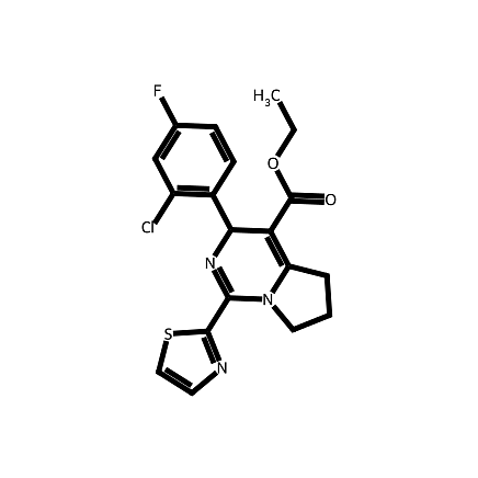 CCOC(=O)C1=C2CCCN2C(c2nccs2)=NC1c1ccc(F)cc1Cl